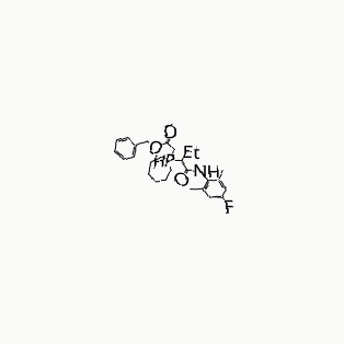 CCC(C(=O)Nc1c(C)cc(F)cc1C)[PH]1(CC(=O)OCc2ccccc2)CCCCCC1